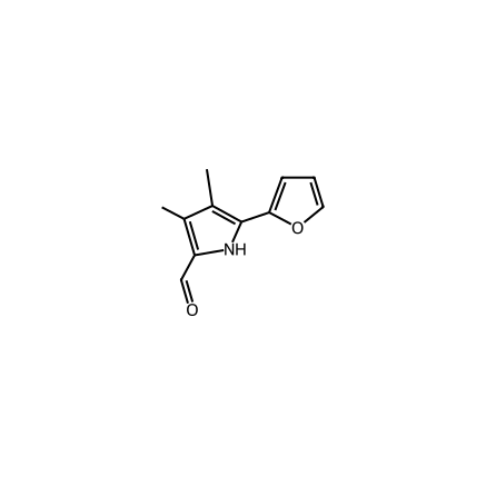 Cc1c(C=O)[nH]c(-c2ccco2)c1C